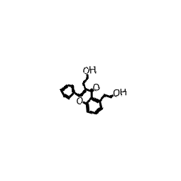 O=c1c(CCO)c(-c2ccccc2)oc2cccc(CCO)c12